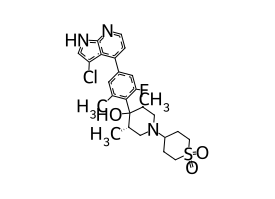 Cc1cc(-c2ccnc3[nH]cc(Cl)c23)cc(F)c1C1(O)[C@H](C)CN(C2CCS(=O)(=O)CC2)C[C@@H]1C